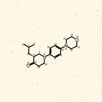 CC(C)C[C@H]1CN(c2ccc(N3CCOCC3)cc2)CCC1=O